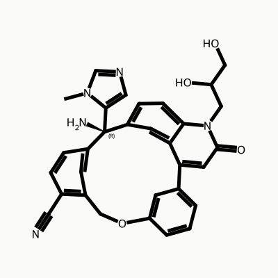 Cn1cncc1[C@@]1(N)c2ccc(C#N)c(c2)COc2cccc(c2)-c2cc(=O)n(CC(O)CO)c3ccc1cc23